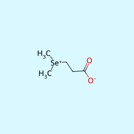 C[Se+](C)CCC(=O)[O-]